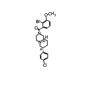 COc1cccc(C(=O)N2CCN3C[C@@H](c4ccc(Cl)cc4)CC[C@@H]3C2)c1Br